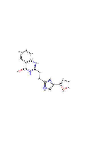 O=c1[nH]c(CCc2nc(-c3ccco3)c[nH]2)nc2ccccc12